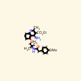 CCOC(=O)c1c(C)nc2cccc(OCC(C)(C)NC(=O)Cc3ccc(OC)cc3)c2c1N